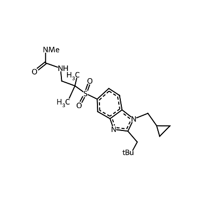 CNC(=O)NCC(C)(C)S(=O)(=O)c1ccc2c(c1)nc(CC(C)(C)C)n2CC1CC1